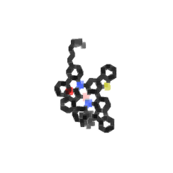 CCCCc1ccc(N2c3cc4c(sc5ccccc54)c4c3B(c3c2oc2ccccc32)N(c2ccccc2)c2c-4ccc3c2C(C)(C)c2ccccc2-3)c(-c2ccccc2)c1